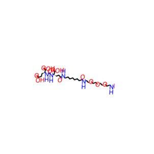 O=C(O)CC[C@H](NC(=O)N[C@@H](CCC(=O)NCCCCCCCC(=O)NCCOCCOCCOCCNI)C(=O)O)C(=O)O